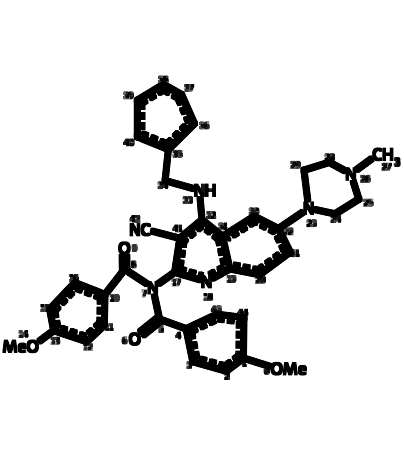 COc1ccc(C(=O)N(C(=O)c2ccc(OC)cc2)c2nc3ccc(N4CCN(C)CC4)cc3c(NCc3ccccc3)c2C#N)cc1